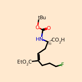 CCOC(=O)C(=CC[C@H](NC(=O)OC(C)(C)C)C(=O)O)CCCF